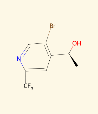 C[C@H](O)c1cc(C(F)(F)F)ncc1Br